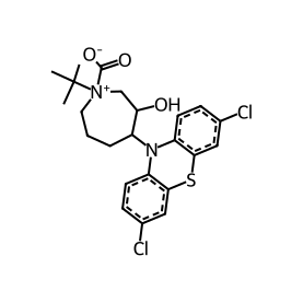 CC(C)(C)[N+]1(C(=O)[O-])CCCC(N2c3ccc(Cl)cc3Sc3cc(Cl)ccc32)C(O)C1